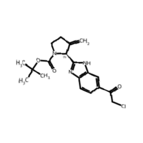 C=C1CCN(C(=O)OC(C)(C)C)[C@@H]1c1nc2ccc(C(=O)CCl)cc2[nH]1